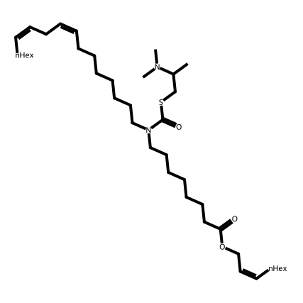 CCCCCC/C=C\C/C=C\CCCCCCCN(CCCCCCCC(=O)OC/C=C\CCCCCC)C(=O)SCC(C)N(C)C